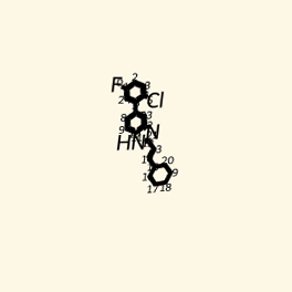 Fc1ccc(Cl)c(-c2ccc3[nH]c(C=CC4CCCCC4)nc3c2)c1